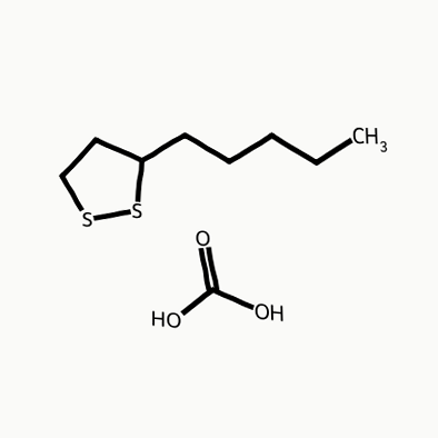 CCCCCC1CCSS1.O=C(O)O